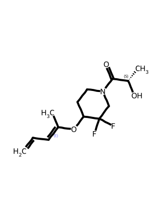 C=C/C=C(\C)OC1CCN(C(=O)[C@H](C)O)CC1(F)F